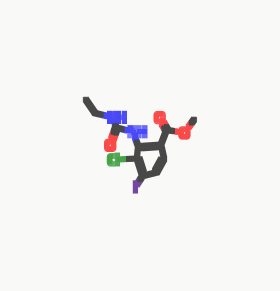 CCNC(=O)Nc1c(C(=O)OC)ccc(I)c1Cl